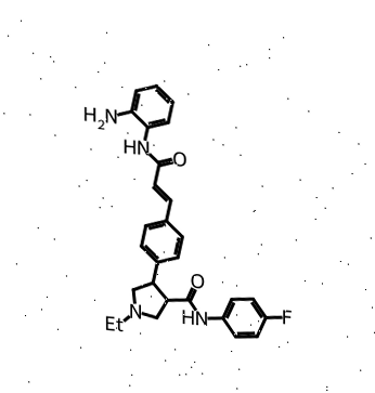 CCN1CC(C(=O)Nc2ccc(F)cc2)C(c2ccc(/C=C/C(=O)Nc3ccccc3N)cc2)C1